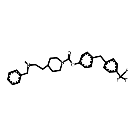 CN(CCC1CCN(C(=O)Oc2ccc(Cc3ccc(C(F)(F)F)cc3)cc2)CC1)Cc1ccccc1